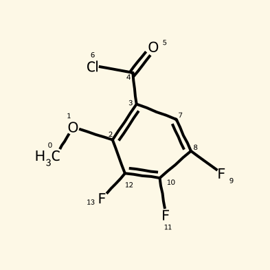 COc1c(C(=O)Cl)cc(F)c(F)c1F